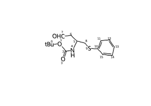 CC(C)(C)OC(=O)NC(CC=O)CSc1ccccc1